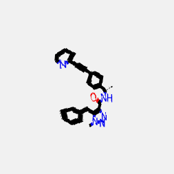 C[C@H](NC(=O)c1nnn(C)c1Cc1ccccc1)c1ccc(C#Cc2ccccn2)cc1